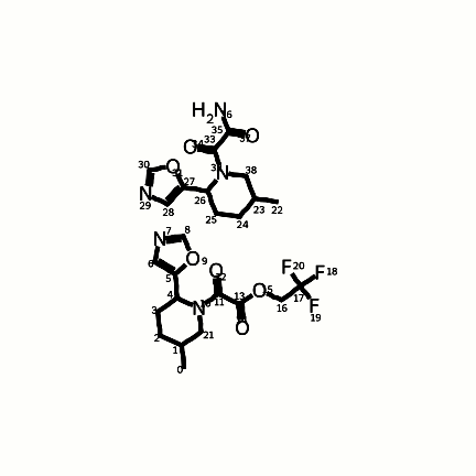 CC1CCC(c2cnco2)N(C(=O)C(=O)OCC(F)(F)F)C1.CC1CCC(c2cnco2)N(C(=O)C(N)=O)C1